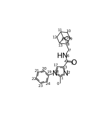 Cc1nc(C(=O)NCC2CCC3CC2C3(C)C)cn1-c1ccccc1